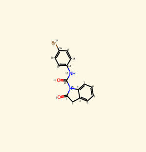 O=C1Cc2ccccc2N1C(=O)Nc1ccc(Br)cc1